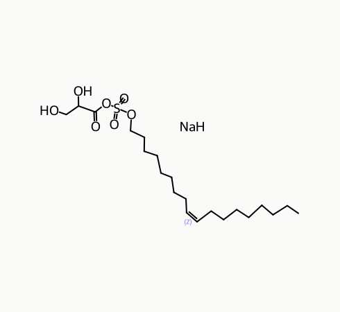 CCCCCCCC/C=C\CCCCCCCCOS(=O)(=O)OC(=O)C(O)CO.[NaH]